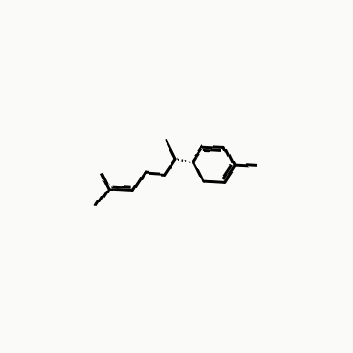 CC(C)=CCCC(C)[C@@H]1C=CC(C)=CC1